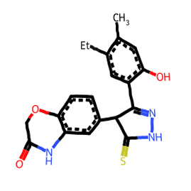 CCc1cc(C2=NNC(=S)C2c2ccc3c(c2)NC(=O)CO3)c(O)cc1C